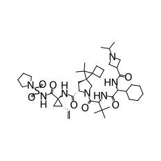 C=C[C@@H]1C[C@]1(NC(=O)[C@@H]1C[C@@]2(CN1C(=O)[C@@H](NC(=O)[C@@H](NC(=O)C1CN(C(C)C)C1)C1CCCCC1)C(C)(C)C)C(C)(C)C21CCC1)C(=O)NS(=O)(=O)N1CCCC1